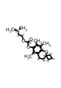 Cc1c(C)c2c(c(C)c1OC(=O)OCCN(C)C)CCC1(CCC1)O2